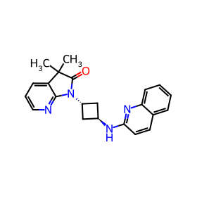 CC1(C)C(=O)N([C@H]2C[C@H](Nc3ccc4ccccc4n3)C2)c2ncccc21